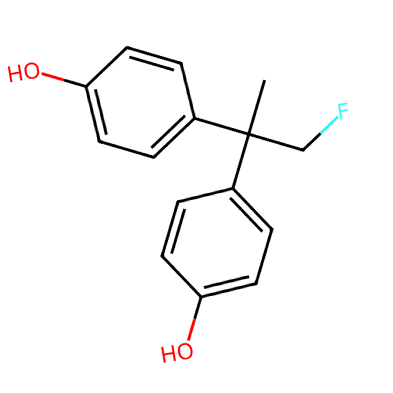 CC(CF)(c1ccc(O)cc1)c1ccc(O)cc1